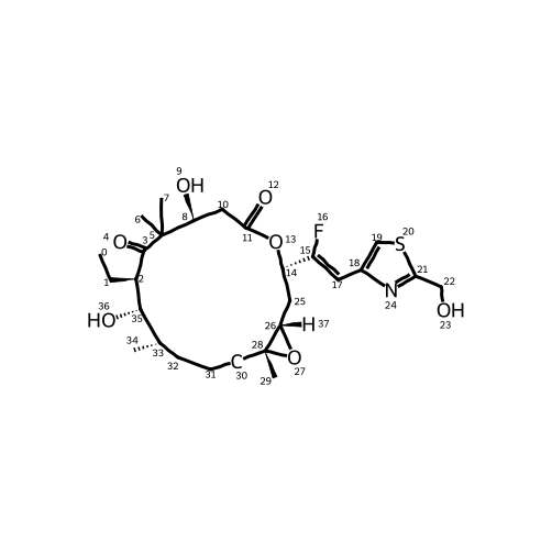 CC[C@H]1C(=O)C(C)(C)[C@@H](O)CC(=O)O[C@H](C(F)=Cc2csc(CO)n2)C[C@@H]2O[C@]2(C)CCC[C@H](C)[C@@H]1O